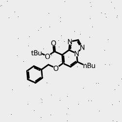 CCCCc1cc(OCc2ccccc2)c(C(=O)OC(C)(C)C)c2ncnn12